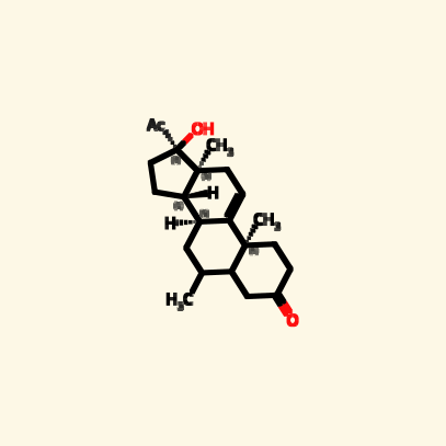 CC(=O)[C@@]1(O)CC[C@H]2[C@@H]3CC(C)C4CC(=O)CC[C@]4(C)C3=CC[C@@]21C